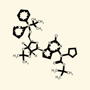 CC(C)(C)OC(=O)N(c1nc(Cl)nc2c1ccn2[C@@H]1O[C@H](CO[Si](c2ccccc2)(c2ccccc2)C(C)(C)C)[C@H]2OC(C)(C)O[C@H]21)C1CCCC1